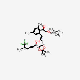 Cc1cc(C)c(C(=O)COC[Si](C)(C)C)c(/C=C/C[C@@H]2OC(C)(C)O[C@@H]2C(O)C#CC[C@@H](C)C(F)(F)F)c1